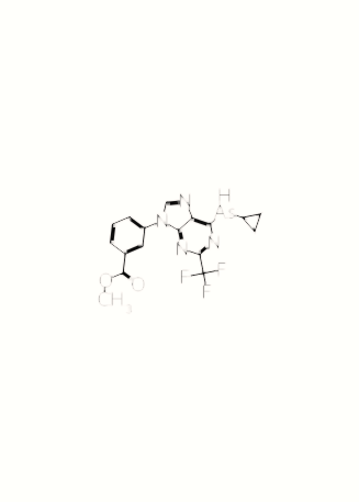 COC(=O)c1cccc(-n2cnc3c([AsH]C4CC4)nc(C(F)(F)F)nc32)c1